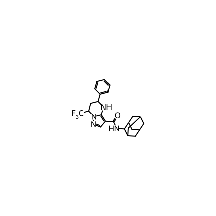 O=C(NC1C2CC3CC(C2)CC1C3)c1cnn2c1NC(c1ccccc1)CC2C(F)(F)F